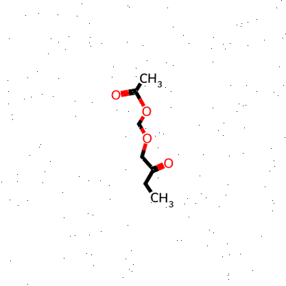 CCC(=O)COCOC(C)=O